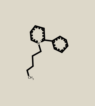 CCCCC[n+]1ccccc1-c1ccccc1